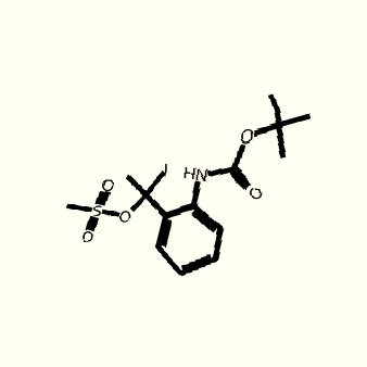 CC(C)(C)OC(=O)Nc1ccccc1C(C)(I)OS(C)(=O)=O